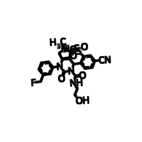 CN1CC2=C(C1=O)C(c1ccc(C#N)cc1S(C)(=O)=O)N(C(=O)NCCO)C(=O)N2c1cccc(CF)c1